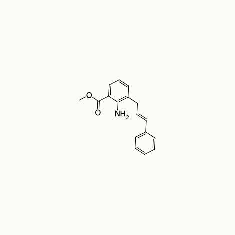 COC(=O)c1cccc(CC=Cc2ccccc2)c1N